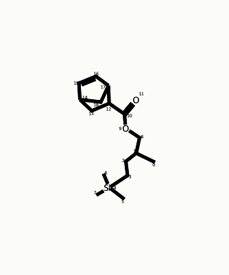 CC(CC[Si](C)(C)C)COC(=O)C1CC2C=CC1C2